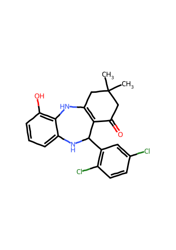 CC1(C)CC(=O)C2=C(C1)Nc1c(O)cccc1NC2c1cc(Cl)ccc1Cl